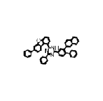 c1ccc(C2=NC(c3ccc(-c4ccccc4)c(-c4ccc5ccccc5c4)c3)NC(c3cccc4oc5cc(-c6ccccc6)ccc5c34)=N2)cc1